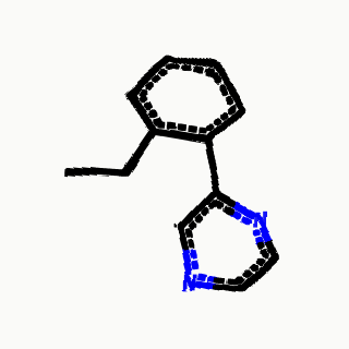 CCc1ccccc1-c1[c]nccn1